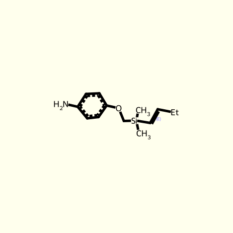 CC/C=C/[Si](C)(C)COc1ccc(N)cc1